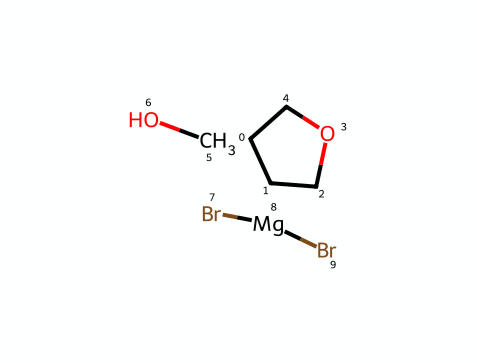 C1CCOC1.CO.[Br][Mg][Br]